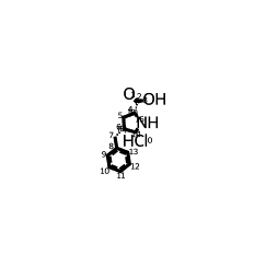 Cl.O=C(O)[C@H]1C[C@@H](Cc2ccccc2)CN1